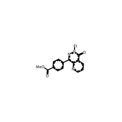 CCn1nc(-c2ccc(C(=O)OC)cc2)c2ncccc2c1=O